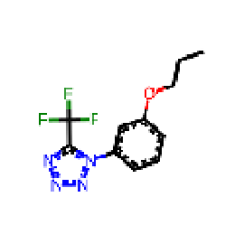 CCCOc1cccc(-n2nnnc2C(F)(F)F)c1